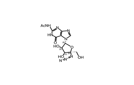 CC(=O)Nc1nc2ncn([C@@H]3O[C@@](CO)(N=[N+]=[N-])[C@@H](O)[C@H]3O)c2c(=O)[nH]1